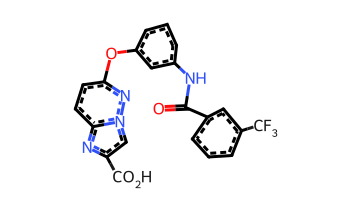 O=C(Nc1cccc(Oc2ccc3nc(C(=O)O)cn3n2)c1)c1cccc(C(F)(F)F)c1